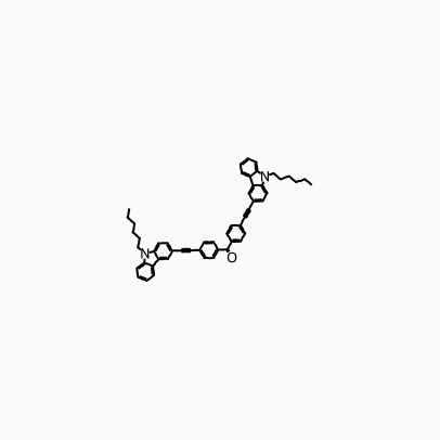 CCCCCCn1c2ccccc2c2cc(C#Cc3ccc(C(=O)c4ccc(C#Cc5ccc6c(c5)c5ccccc5n6CCCCCC)cc4)cc3)ccc21